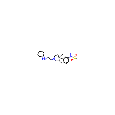 C[C@H]1CN(CCNC2CCCCC2)CC[C@]1(C)c1cccc(NS(C)(=O)=O)c1